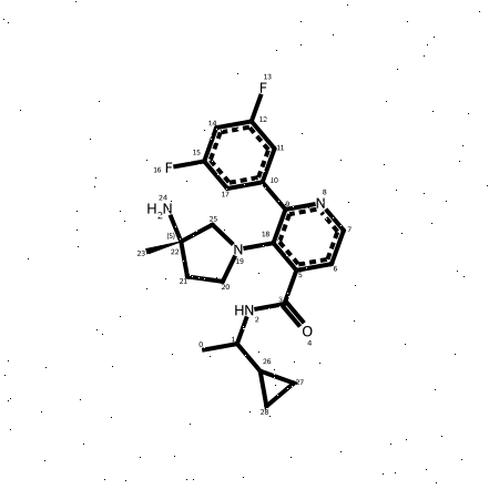 CC(NC(=O)c1ccnc(-c2cc(F)cc(F)c2)c1N1CC[C@](C)(N)C1)C1CC1